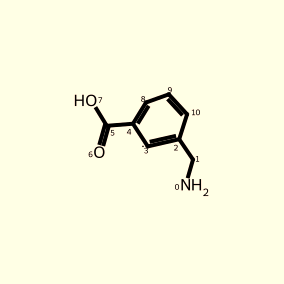 NCc1[c]c(C(=O)O)ccc1